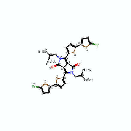 CCCCCCCCC(CCCCCC)CN1C(=O)C2=C(c3ccc(-c4ccc(Br)s4)s3)N(CC(CCCCCC)CCCCCCCC)C(=O)C2=C1c1ccc(-c2ccc(Br)s2)s1